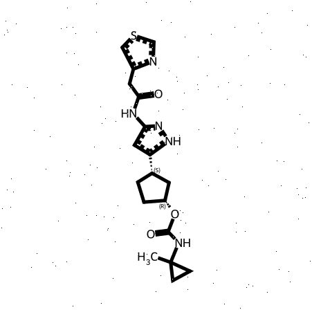 CC1(NC(=O)O[C@@H]2CC[C@H](c3cc(NC(=O)Cc4cscn4)n[nH]3)C2)CC1